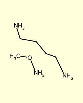 CON.NCCCCN